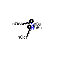 CCCCCCCCC=CCCCc1ccccc1N=C(CCCC)C(CCCC)=Nc1ccccc1CCCC=CCCCCCCCC.[Ni]